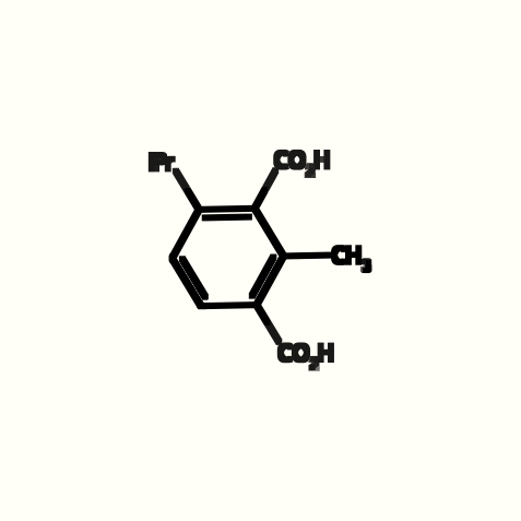 Cc1c(C(=O)O)ccc(C(C)C)c1C(=O)O